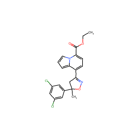 CCOC(=O)c1ccc(C2=NOC(C)(c3cc(Cl)cc(Cl)c3)C2)c2cccn12